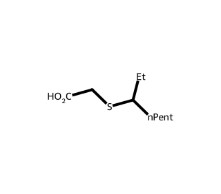 CCCCCC(CC)SCC(=O)O